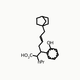 CCCC(C(=O)O)C(CC=CCC12CCC(CC1)C2)c1ccccc1O